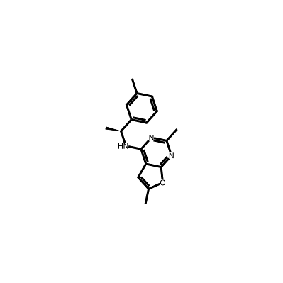 Cc1cccc([C@H](C)Nc2nc(C)nc3oc(C)cc23)c1